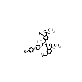 COC(=O)c1ccc(CC(O)CN2CCN(c3ccc(Br)cc3)CC2)cc1C#N.COC(=O)c1ccc(CC2CO2)cc1C#N